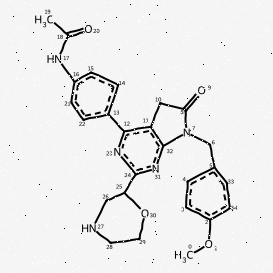 COc1ccc(CN2C(=O)Cc3c(-c4ccc(NC(C)=O)cc4)nc(C4CNCCO4)nc32)cc1